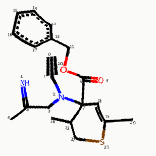 C#CN(CC(C)=N)C1(C(=O)OCc2ccccc2)C=C(C)SCC1C